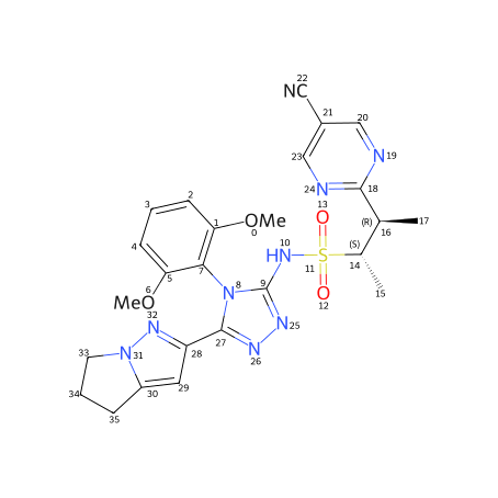 COc1cccc(OC)c1-n1c(NS(=O)(=O)[C@@H](C)[C@H](C)c2ncc(C#N)cn2)nnc1-c1cc2n(n1)CCC2